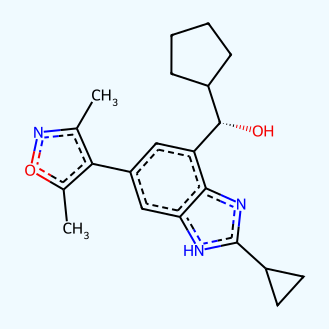 Cc1noc(C)c1-c1cc([C@@H](O)C2CCCC2)c2nc(C3CC3)[nH]c2c1